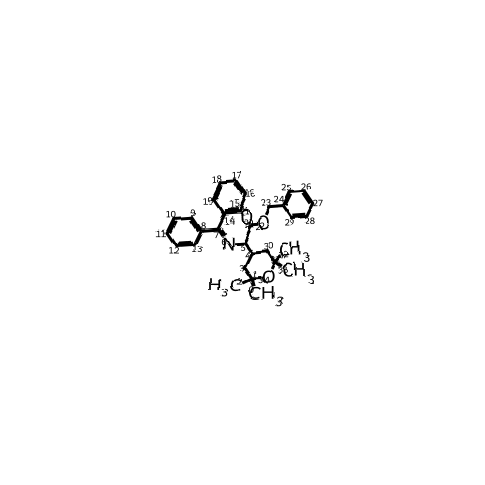 CC1(C)CC(C(N=C(c2ccccc2)c2ccccc2)C(=O)OCc2ccccc2)CC(C)(C)O1